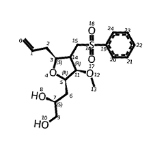 C=CC[C@@H]1O[C@H](C[C@H](O)CO)[C@H](OC)C1CS(=O)(=O)c1ccccc1